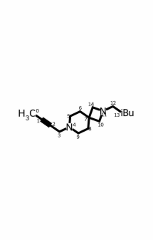 CC#CCN1CCC2(CC1)CN(CC(C)CC)C2